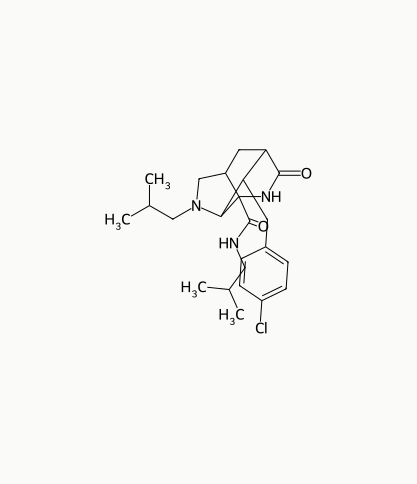 CC(C)CNC(=O)C12NC(=O)C3CC1CN(CC(C)C)C2C3Cc1ccc(Cl)cc1